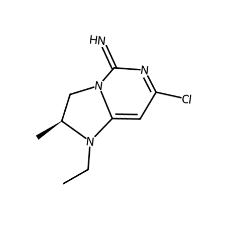 CCN1c2cc(Cl)nc(=N)n2C[C@@H]1C